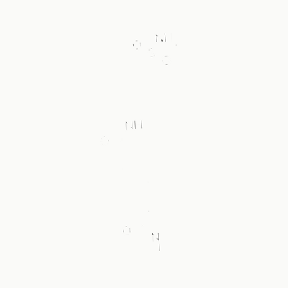 NS(=O)(=O)c1ccc(CNC(=O)c2ccc3c(c2)CCC2(CCNC2=O)C3)cc1